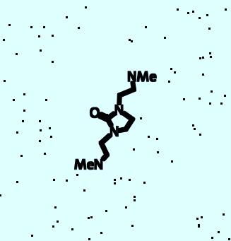 CNCCN1CCN(CCNC)C1=O